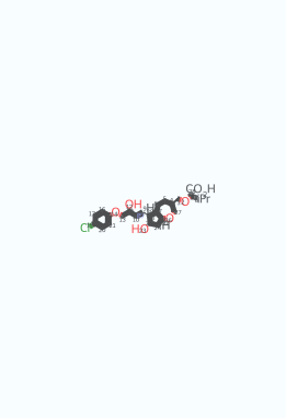 CC(C)C(OC[C@@H]1CC[C@@H]2[C@@H](/C=C/[C@@H](O)COc3ccc(Cl)cc3)[C@H](O)C[C@@H]2OC1)C(=O)O